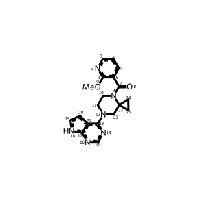 COc1ncccc1C(=O)N1CCN(c2ncnc3[nH]ccc23)CC12CC2